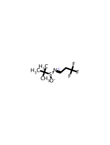 CC(C)(C)[S+]([O-])/N=C/CC(F)(F)F